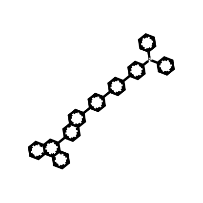 c1ccc(N(c2ccccc2)c2ccc(-c3ccc(-c4ccc(-c5ccc6cc(-c7cc8ccccc8c8ccccc78)ccc6c5)cc4)cc3)cc2)cc1